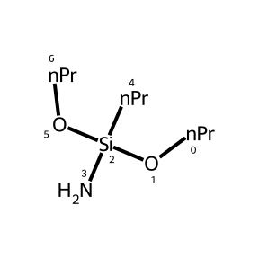 CCCO[Si](N)(CCC)OCCC